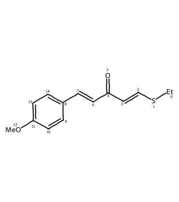 CCSC=CC(=O)C=Cc1ccc(OC)cc1